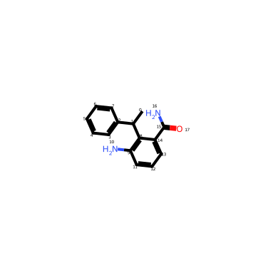 CC(c1ccccc1)c1c(N)cccc1C(N)=O